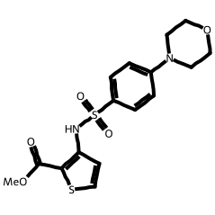 COC(=O)c1sccc1NS(=O)(=O)c1ccc(N2CCOCC2)cc1